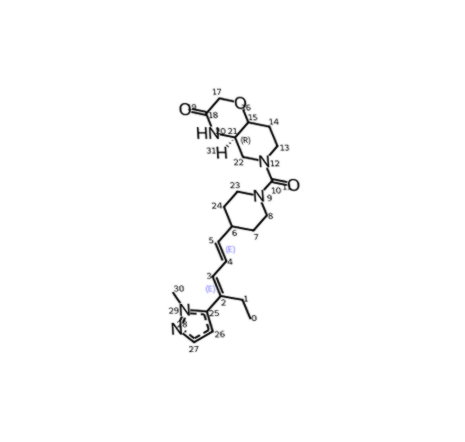 CC/C(=C\C=C\C1CCN(C(=O)N2CCC3OCC(=O)N[C@@H]3C2)CC1)c1ccnn1C